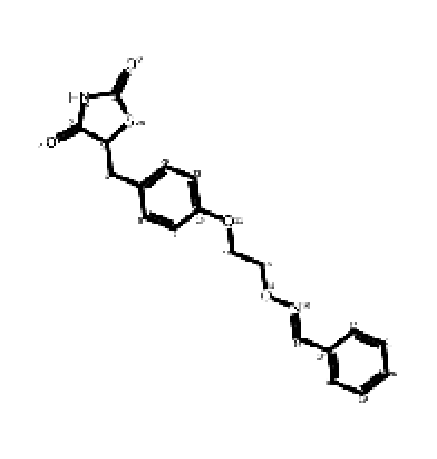 O=C1NC(=O)C(Cc2ccc(OCCO/N=C/c3ccccc3)cc2)S1